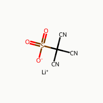 N#CC(C#N)(C#N)S(=O)(=O)[O-].[Li+]